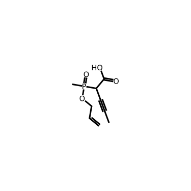 C=CCOP(C)(=O)C(C#CC)C(=O)O